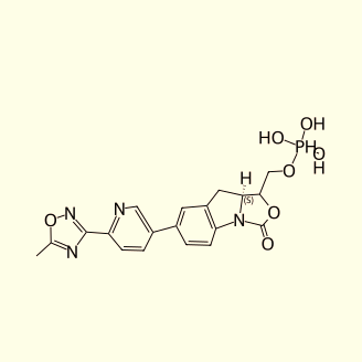 Cc1nc(-c2ccc(-c3ccc4c(c3)C[C@H]3C(CO[PH](O)(O)O)OC(=O)N43)cn2)no1